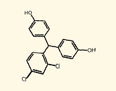 Oc1ccc(C(c2ccc(O)cc2)c2ccc(Cl)cc2Cl)cc1